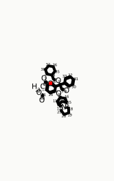 CC(=O)OC(OC(C(=O)OC1CC2CCC(C1)[N+]21CCCC1)(c1ccccc1)c1ccccc1)C1CCCCC1.O=C[O-]